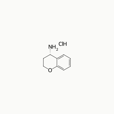 Cl.N[C@H]1CCOc2ccccc21